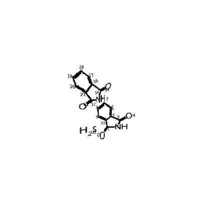 O=C1NC(=O)c2ccccc21.O=C1NC(=O)c2ccccc21.S